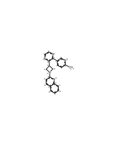 Cc1ccc(-c2nccnc2C2CN(c3ccc4ccccc4n3)C2)cn1